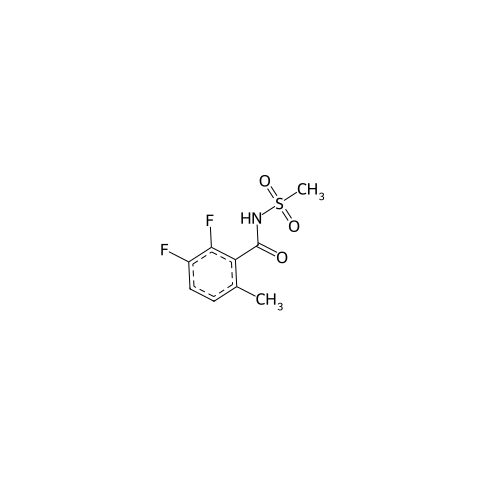 Cc1ccc(F)c(F)c1C(=O)NS(C)(=O)=O